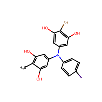 Bc1c(O)cc(N(c2ccc(I)cc2)c2cc(O)c(S)c(O)c2)cc1O